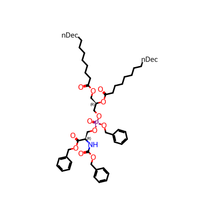 CCCCCCCCCCCCCCCCCC(=O)OC[C@H](COP(=O)(OCc1ccccc1)OC[C@@H](NC(=O)OCc1ccccc1)C(=O)OCc1ccccc1)OC(=O)CCCCCCCCCCCCCCCCC